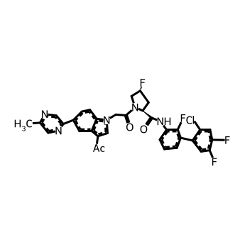 CC(=O)c1cn(CC(=O)N2C[C@H](F)C[C@H]2C(=O)Nc2cccc(-c3cc(F)c(F)cc3Cl)c2F)c2ccc(-c3cnc(C)cn3)cc12